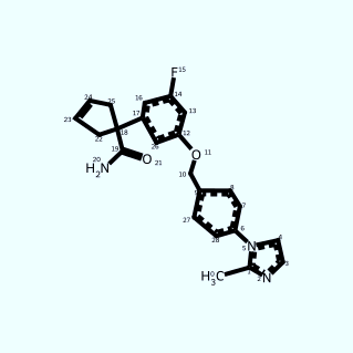 Cc1nccn1-c1ccc(COc2cc(F)cc(C3(C(N)=O)CC=CC3)c2)cc1